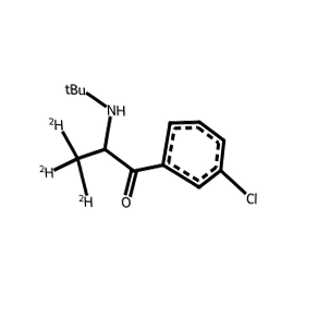 [2H]C([2H])([2H])C(NC(C)(C)C)C(=O)c1cccc(Cl)c1